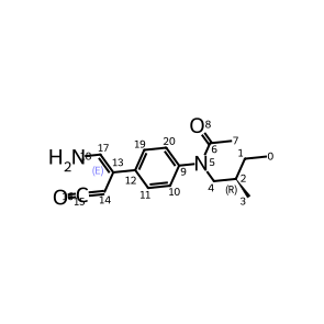 CC[C@@H](C)CN(C(C)=O)c1ccc(/C(C=C=O)=C/N)cc1